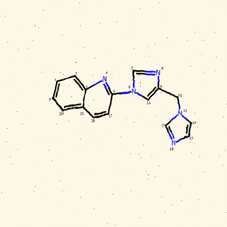 c1ccc2nc(-n3cnc(Cn4ccnc4)c3)ccc2c1